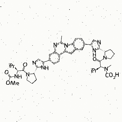 COC(=O)N[C@H](C(=O)N1CCC[C@H]1c1ncc(-c2ccc3c(c2)nc(C)n2c4ccc(-c5cnc([C@@H]6CCCN6C(=O)[C@H](C(C)C)N(C)C(=O)O)[nH]5)cc4cc32)[nH]1)C(C)C